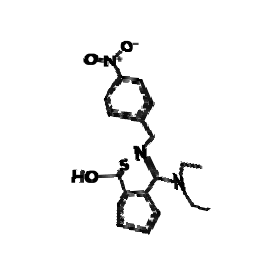 CCN(CC)C(=NCc1ccc([N+](=O)[O-])cc1)c1ccccc1C(O)=S